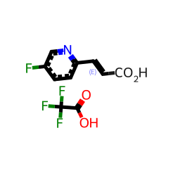 O=C(O)/C=C/c1ccc(F)cn1.O=C(O)C(F)(F)F